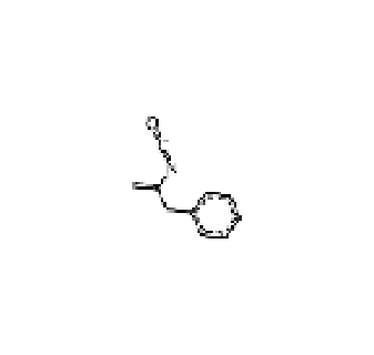 C=C(Cc1ccccc1)N=C=O